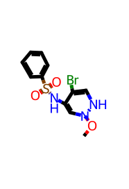 CON1C=C(NS(=O)(=O)c2ccccc2)C(Br)=CN1